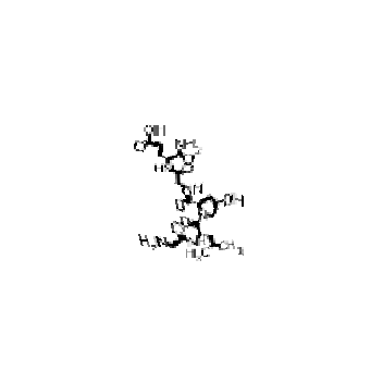 CC(C)C[C@H](NC(=O)CN)C(=O)N1C[C@H](O)C[C@H]1C(=O)NCC(=O)N[C@@H](CCC(=O)O)C(N)=O